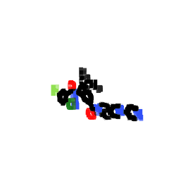 CC1(C)CC(NC(=O)c2cc(F)ccc2Cl)c2cc(C(=O)N3CCC4(CC3)CCN(c3ccncc3)CC4)ccc21